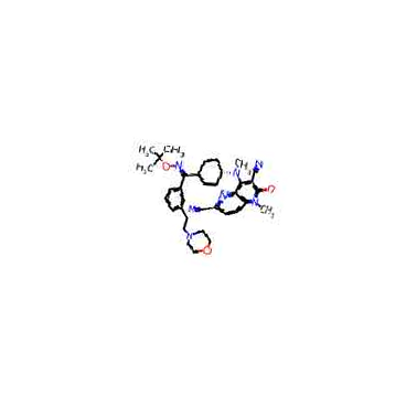 Cn1c(=O)c(C#N)c(N(C)[C@H]2CC[C@H](/C(=N/OC(C)(C)C)c3cccc(CCN4CCOCC4)c3)CC2)c2nc(C#N)ccc21